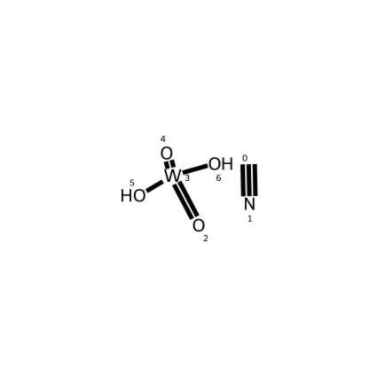 C#N.[O]=[W](=[O])([OH])[OH]